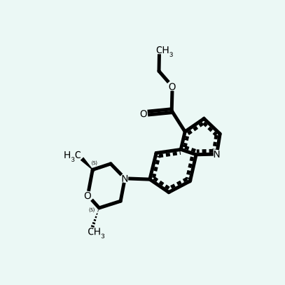 CCOC(=O)c1ccnc2ccc(N3C[C@H](C)O[C@@H](C)C3)cc12